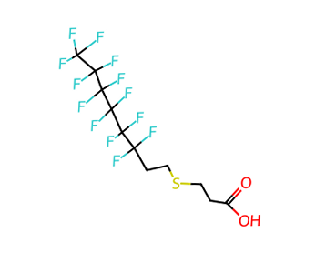 O=C(O)CCSCCC(F)(F)C(F)(F)C(F)(F)C(F)(F)C(F)(F)C(F)(F)F